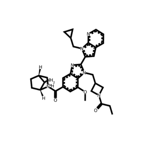 CCC(=O)N1CC(Cn2c(-c3cc4cccnc4n3CC3CC3)nc3cc(C(=O)N4C[C@H]5CC[C@@H]4[C@@H]5N)cc(OC)c32)C1